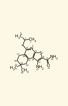 CC(C)Cc1nc2sc(C(N)=O)c(N)c2c2c1CCC(C)(C)C2